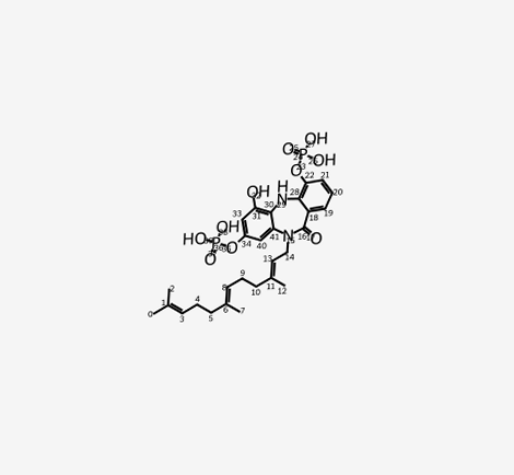 CC(C)=CCC/C(C)=C/CC/C(C)=C/CN1C(=O)c2cccc(OP(=O)(O)O)c2Nc2c(O)cc(OP(=O)(O)O)cc21